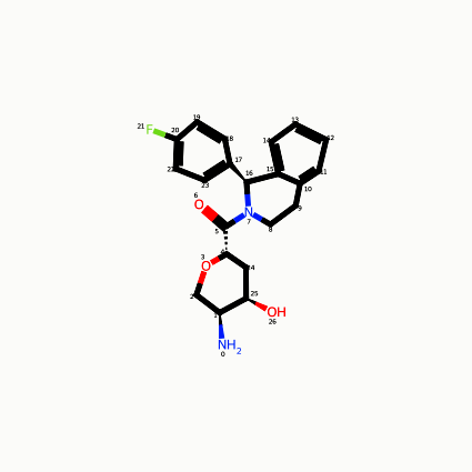 N[C@H]1CO[C@H](C(=O)N2CCc3ccccc3[C@@H]2c2ccc(F)cc2)C[C@H]1O